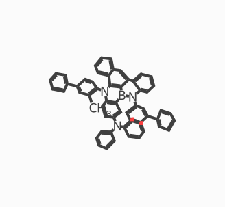 Cc1cc(-c2ccccc2)ccc1N1c2ccc(N(c3ccccc3)c3ccccc3)cc2B2c3c(cc4ccccc4c31)-c1ccccc1N2c1cccc(-c2ccccc2)c1